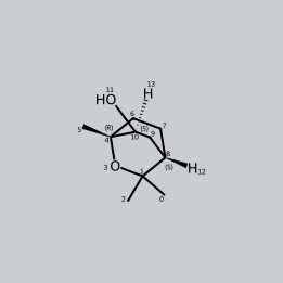 CC1(C)O[C@]2(C)CC[C@H]1C[C@@H]2O